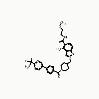 COCCNC(=O)c1ccc2nn(CC3CCN(C(=O)c4ccc(-c5cnc(C(F)(F)P)nc5)cc4)CC3)cc2c1C